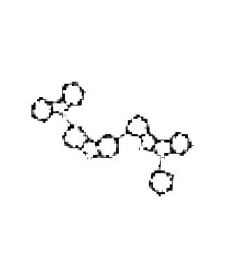 c1ccc(-n2c3ccccc3c3c4cccc(-c5ccc6oc7ccc(-n8c9ccccc9c9ccccc98)cc7c6c5)c4oc32)cc1